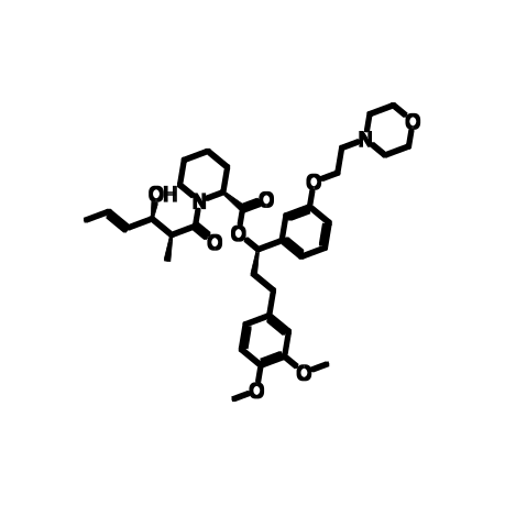 C/C=C/[C@@H](O)[C@H](C)C(=O)N1CCCC[C@H]1C(=O)O[C@H](CCc1ccc(OC)c(OC)c1)c1cccc(OCCN2CCOCC2)c1